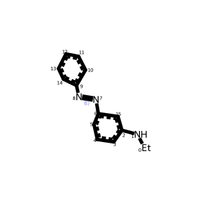 CCNc1cccc(/N=N/c2ccccc2)c1